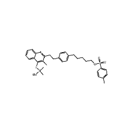 Cc1ccc(S(=O)(=O)OCCCCCc2ccc(CCc3nc4ccccc4c(O[Si](C)(C)C(C)(C)C)c3C)cc2)cc1